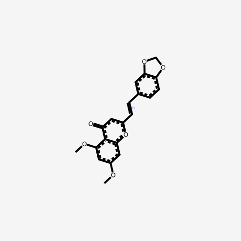 COc1cc(OC)c2c(=O)cc(/C=C/c3ccc4c(c3)OCO4)oc2c1